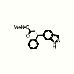 CNOC(=O)C[C@@H](c1ccccc1)c1ccc2cn[nH]c2c1